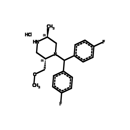 COC[C@@H]1CN[C@@H](C)CN1C(c1ccc(F)cc1)c1ccc(F)cc1.Cl